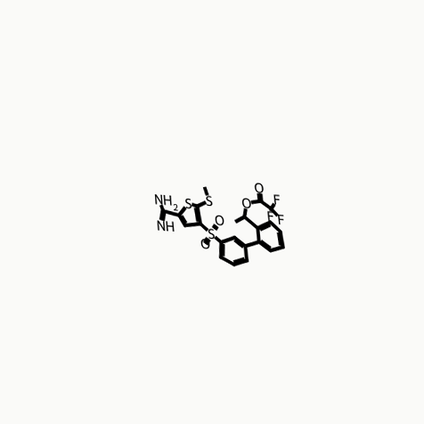 CSc1sc(C(=N)N)cc1S(=O)(=O)c1cccc(-c2ccccc2C(C)OC(=O)C(F)(F)F)c1